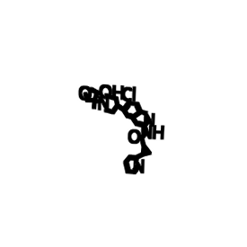 CC1(N2CCC(c3cc4cc(NC(=O)C5CC5c5ccccn5)ncc4cc3Cl)CC2)COCC1O